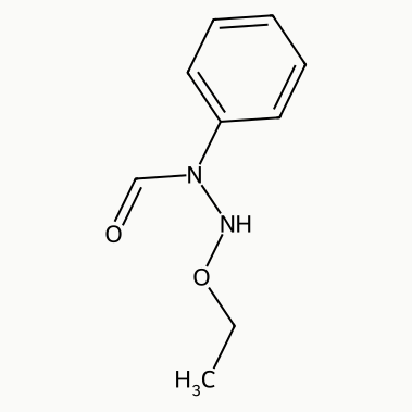 CCONN(C=O)c1ccccc1